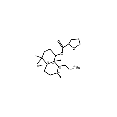 CC[C@@H](C)CC[C@H]1[C@@H](C)CC[C@H]2C(C)(C)CCC(OC(=O)C3CCOO3)[C@]12C